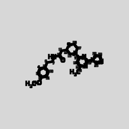 COc1ccc(CCNC(=O)CC2CN(c3cc(C)nc(-n4ccnc4)n3)CCS2)cc1